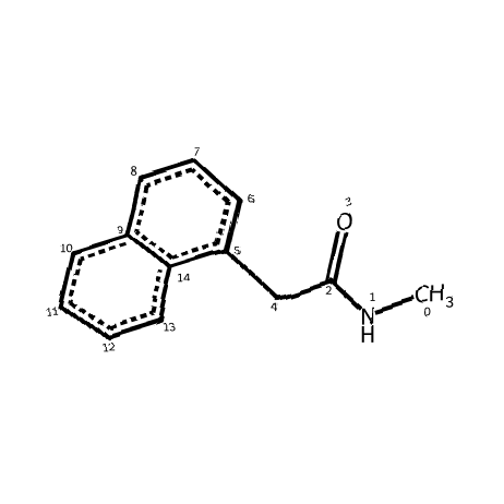 CNC(=O)Cc1cccc2ccccc12